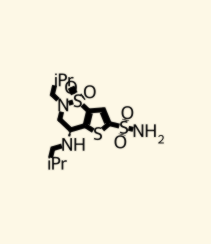 CC(C)CN[C@@H]1CN(CC(C)C)S(=O)(=O)c2cc(S(N)(=O)=O)sc21